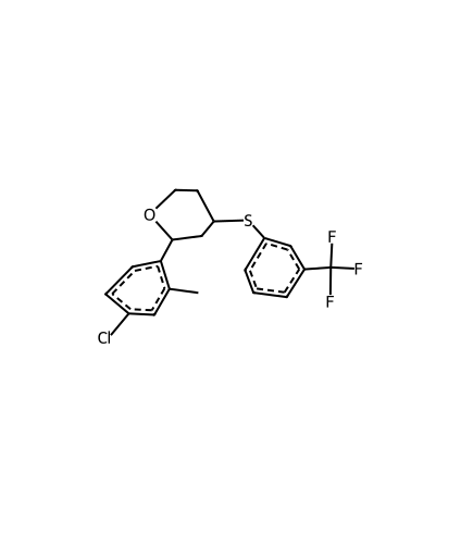 Cc1cc(Cl)ccc1C1CC(Sc2cccc(C(F)(F)F)c2)CCO1